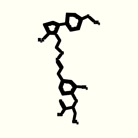 CCC(Oc1ccc(CC=NOCCn2c(C)ccc2-c2ccc(SC)cc2)cc1C)C(=O)O